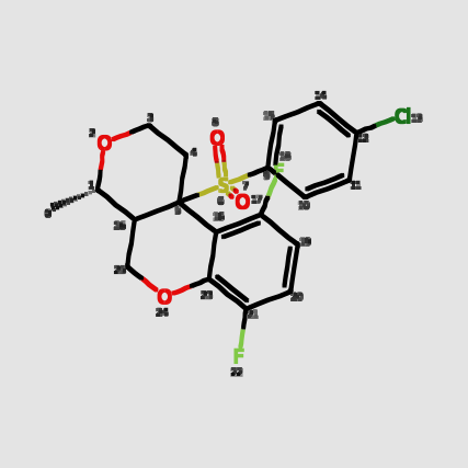 C[C@@H]1OCCC2(S(=O)(=O)c3ccc(Cl)cc3)c3c(F)ccc(F)c3OCC12